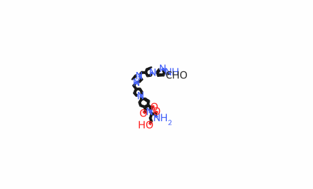 NC(=O)C(CCO)N1C(=O)C2=C(CCC(N3CCC(CN4CCN(CC5CCN(c6ccc(NC=O)nc6)CC5)CC4)CC3)C=C2)C1=O